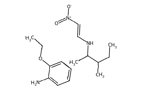 CCC(C)C(C)NC=C[N+](=O)[O-].CCOc1ccccc1N